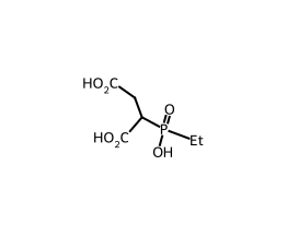 CCP(=O)(O)C(CC(=O)O)C(=O)O